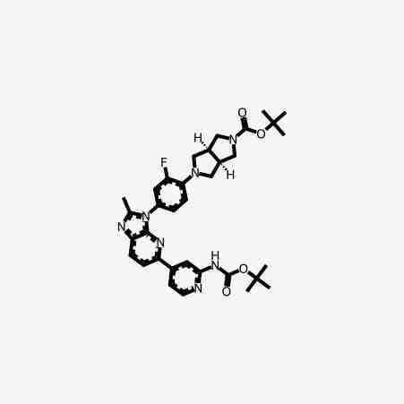 Cc1nc2ccc(-c3ccnc(NC(=O)OC(C)(C)C)c3)nc2n1-c1ccc(N2C[C@H]3CN(C(=O)OC(C)(C)C)C[C@H]3C2)c(F)c1